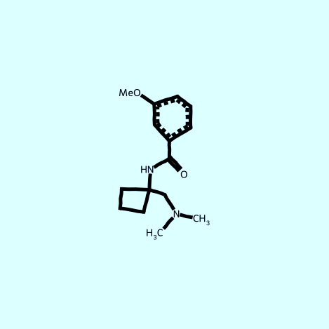 COc1cccc(C(=O)NC2(CN(C)C)CCC2)c1